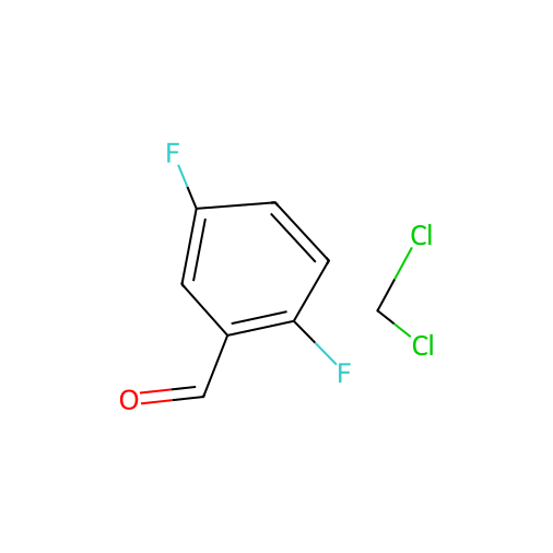 ClCCl.O=Cc1cc(F)ccc1F